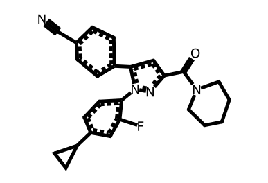 N#Cc1ccc(-c2cc(C(=O)N3CCCCC3)nn2-c2ccc(C3CC3)cc2F)cc1